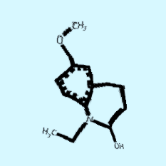 CCN1C(O)=CCc2cc(OC)ccc21